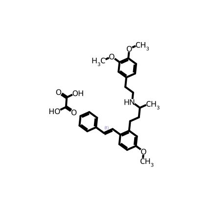 COc1ccc(/C=C/c2ccccc2)c(CCC(C)NCCc2ccc(OC)c(OC)c2)c1.O=C(O)C(=O)O